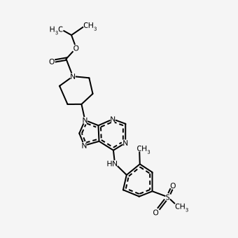 Cc1cc(S(C)(=O)=O)ccc1Nc1ncnc2c1ncn2C1CCN(C(=O)OC(C)C)CC1